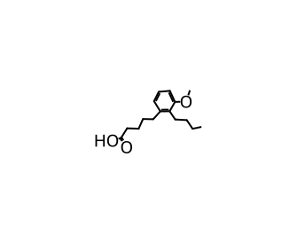 CCCCc1c(CCCCC(=O)O)cccc1OC